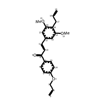 C=CCOc1ccc(C(=O)C=Cc2cc(OC)c(CC=C)c(OC)c2)cc1